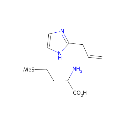 C=CCc1ncc[nH]1.CSCCC(N)C(=O)O